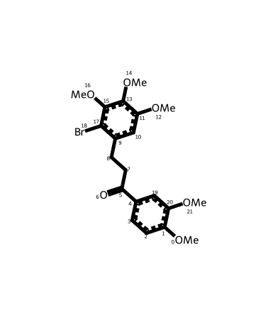 COc1ccc(C(=O)CCc2cc(OC)c(OC)c(OC)c2Br)cc1OC